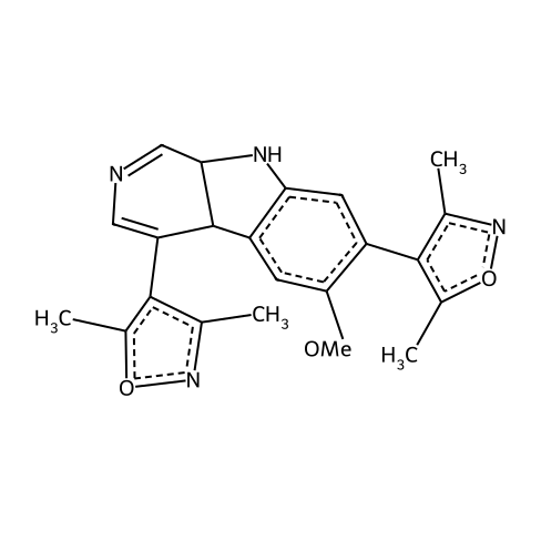 COc1cc2c(cc1-c1c(C)noc1C)NC1C=NC=C(c3c(C)noc3C)C21